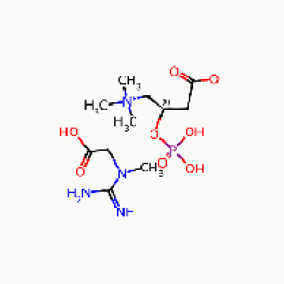 CN(CC(=O)O)C(=N)N.C[N+](C)(C)C[C@@H](CC(=O)[O-])OP(=O)(O)O